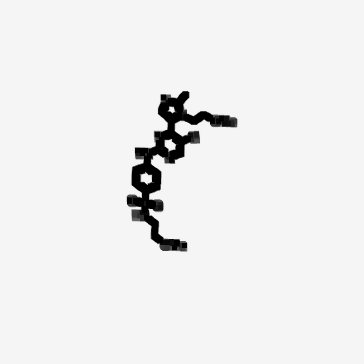 COCCNS(=O)(=O)c1ccc(Nc2ncc(Cl)c(-c3cnc(C)n3CCOC)n2)cc1